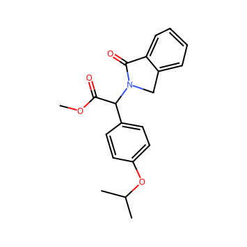 COC(=O)C(c1ccc(OC(C)C)cc1)N1Cc2ccccc2C1=O